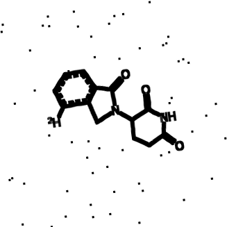 [2H]c1cccc2c1CN(C1CCC(=O)NC1=O)C2=O